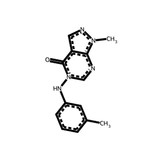 Cc1cccc(Nn2cnc3c(cnn3C)c2=O)c1